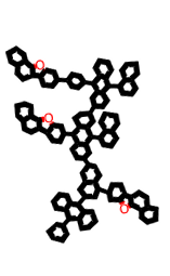 c1ccc(-c2c3ccccc3c(-c3cc(-c4ccc5c(c4)oc4c6ccccc6ccc54)c4ccc(-c5ccc6c(-c7ccc8c(c7)oc7c9ccccc9ccc87)c7ccc(-c8ccc9c(-c%10cccc%11ccccc%10%11)c%10ccccc%10c(-c%10ccc(-c%11ccc%12c(c%11)oc%11c%13ccccc%13ccc%12%11)cc%10)c9c8)cc7c(-c7cccc8ccccc78)c6c5)cc4c3)c3ccccc23)cc1